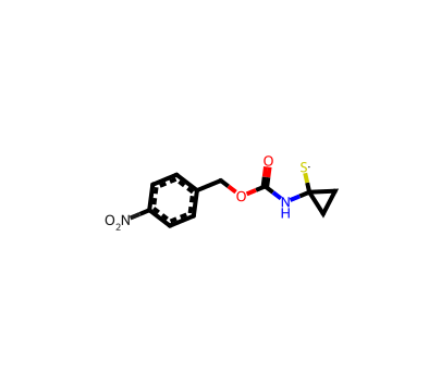 O=C(NC1([S])CC1)OCc1ccc([N+](=O)[O-])cc1